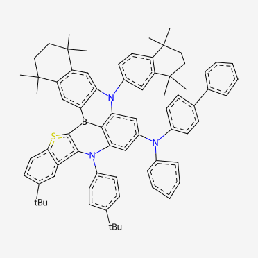 CC(C)(C)c1ccc(N2c3cc(N(c4ccccc4)c4ccc(-c5ccccc5)cc4)cc4c3B(c3cc5c(cc3N4c3ccc4c(c3)C(C)(C)CCC4(C)C)C(C)(C)CCC5(C)C)c3sc4ccc(C(C)(C)C)cc4c32)cc1